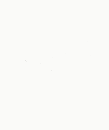 CN(C)CCNc1ccnc(N(Cc2ccccn2)Cc2ccccn2)n1